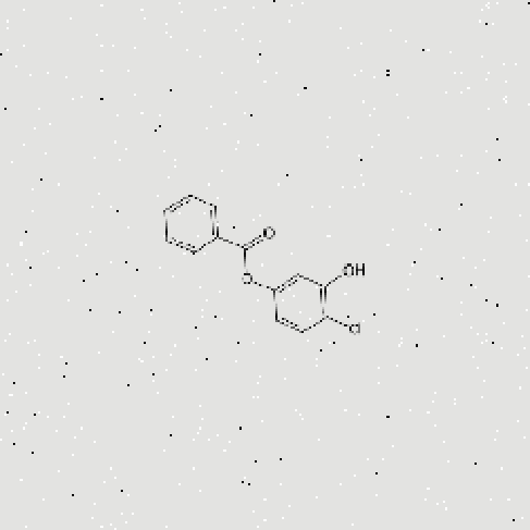 O=C(Oc1ccc(Cl)c(O)c1)c1ccccc1